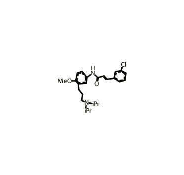 COc1ccc(NC(=O)/C=C/c2cccc(Cl)c2)cc1CCCN(C(C)C)C(C)C